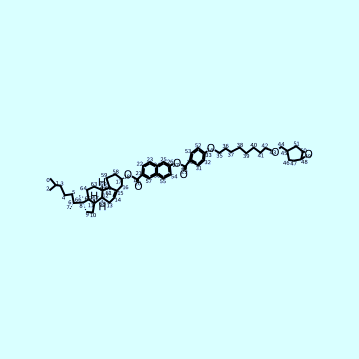 CC(C)CCC[C@@H](C)[C@H]1CC[C@H]2[C@@H]3CC=C4C[C@@H](OC(=O)c5ccc6cc(OC(=O)c7ccc(OCCCCCCCCOCC8CCC9OC9C8)cc7)ccc6c5)CC[C@]4(C)[C@H]3CC[C@]12C